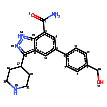 NC(=O)c1cc(-c2ccc(CO)cc2)cc2c(C3CCNCC3)n[nH]c12